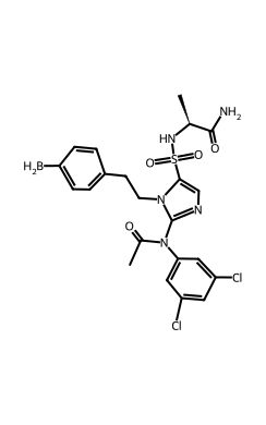 Bc1ccc(CCn2c(S(=O)(=O)N[C@@H](C)C(N)=O)cnc2N(C(C)=O)c2cc(Cl)cc(Cl)c2)cc1